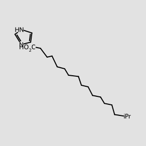 CC(C)CCCCCCCCCCCCCCC(=O)O.c1c[nH]cn1